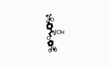 CN(C)C(=O)Oc1ccc(C(CCOc2ccc([N+](=O)[O-])cc2)N(C)C)cc1.Cl